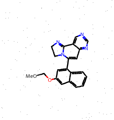 COCOc1cc(C2=Cc3ncncc3C3=NCCN23)c2ccccc2c1